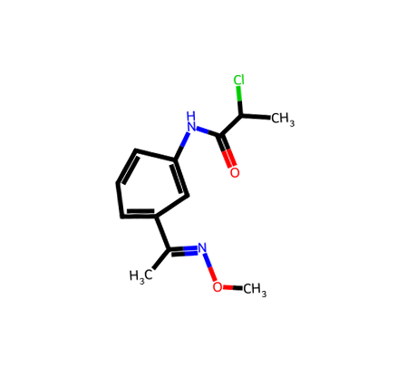 CON=C(C)c1cccc(NC(=O)C(C)Cl)c1